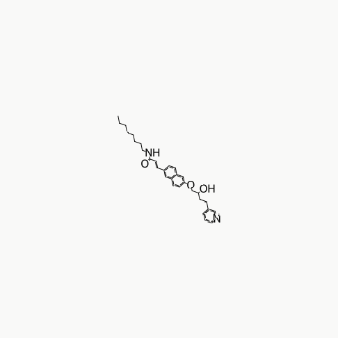 CCCCCCCCNC(=O)C=Cc1ccc2cc(OCC(O)CCc3cccnc3)ccc2c1